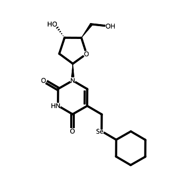 O=c1[nH]c(=O)n([C@H]2C[C@H](O)[C@@H](CO)O2)cc1C[Se]C1CCCCC1